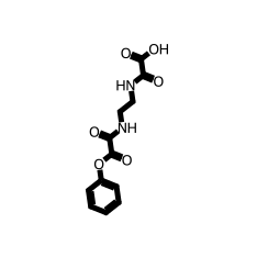 O=C(O)C(=O)NCCNC(=O)C(=O)Oc1ccccc1